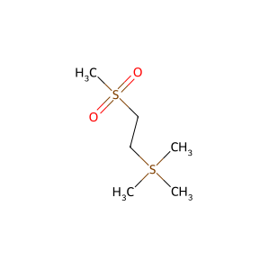 CS(C)(C)CCS(C)(=O)=O